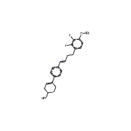 CCCC1CC=C(c2ccc(/C=C/CCc3ccc(OCC)c(F)c3F)cc2)CC1